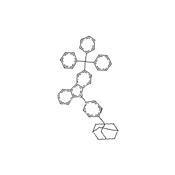 c1ccc(C(c2ccccc2)(c2ccccc2)c2ccc3c(c2)c2ccccc2n3-c2ccc(C34CC5CC(CC(C5)C3)C4)cc2)cc1